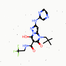 CC(C)(C)Cn1c(=O)c(C(=O)NCC(F)(F)F)c(O)n2nc(Nc3cnccn3)cc12